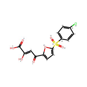 O=C(O)/C(O)=C/C(=O)c1ccc(S(=O)(=O)c2ccc(Cl)cc2)o1